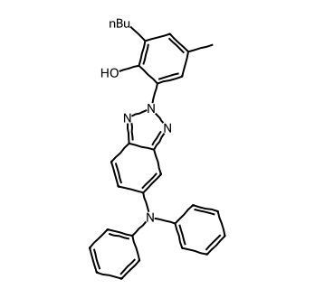 CCCCc1cc(C)cc(-n2nc3ccc(N(c4ccccc4)c4ccccc4)cc3n2)c1O